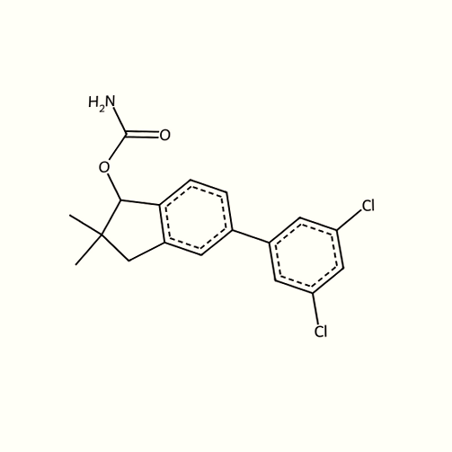 CC1(C)Cc2cc(-c3cc(Cl)cc(Cl)c3)ccc2C1OC(N)=O